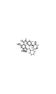 CN(C(=O)c1cc2c(CC3CCCCC3)n[nH]c2cc1O)c1ccc(N2CCOCC2=O)cc1